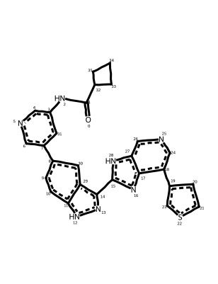 O=C(Nc1cncc(-c2ccc3[nH]nc(-c4nc5c(-c6ccsc6)cncc5[nH]4)c3c2)c1)C1CCC1